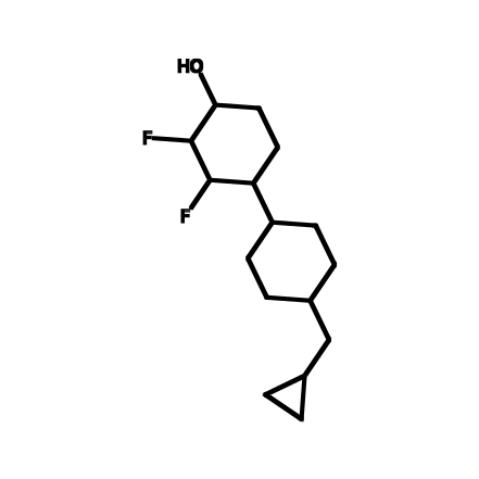 OC1CCC(C2CCC(CC3CC3)CC2)C(F)C1F